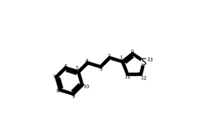 C1=C(CCCc2ccccc2)CCS1